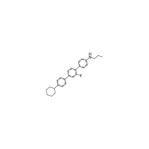 CCCNc1ccc(-c2ccc(-c3ccc(C4CCCCC4)cc3)cc2F)cc1